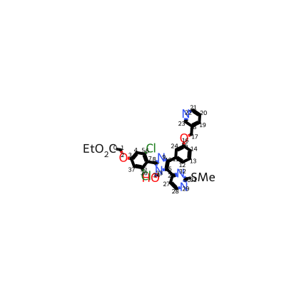 CCOC(=O)COc1cc(Cl)c(-c2nc(-c3cccc(OCc4cccnc4)c3)c(-c3ccnc(SC)n3)n2O)c(Cl)c1